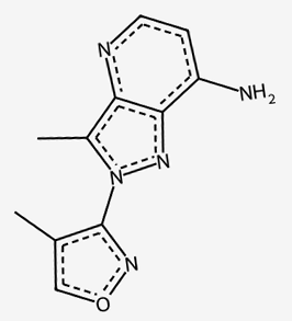 Cc1conc1-n1nc2c(N)ccnc2c1C